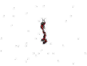 O=C1CCC(N2C(=O)c3cccc(NCCCOCC4CCN(C[C@H]5CC[C@H](n6cc7cc(NC(=O)c8cccc(C(F)(F)F)n8)c(C(F)F)cc7n6)CC5)CC4)c3C2=O)C(=O)N1